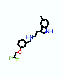 Cc1ccc2[nH]cc(CCNCc3cccc(OCC(F)F)c3)c2c1